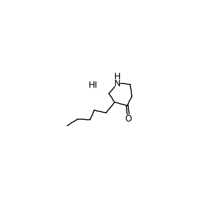 CCCCCC1CNCCC1=O.I